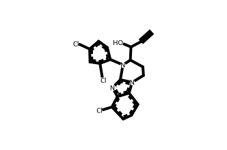 C#CC(O)C1CCn2c(nc3c(Cl)cccc32)N1c1ccc(Cl)cc1Cl